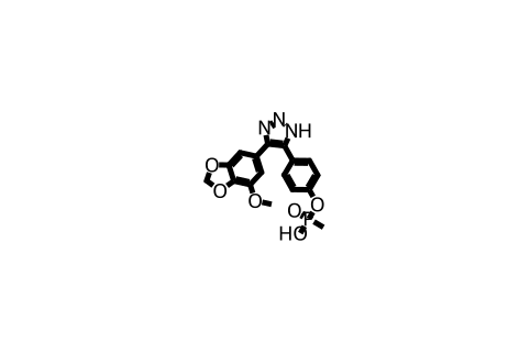 COc1cc(-c2nn[nH]c2-c2ccc(OP(C)(=O)O)cc2)cc2c1OCO2